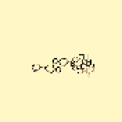 CC1(C)OB(c2ccc3c(c2)Oc2ccc(-c4ccccc4)cc2O3)OC1(C)C